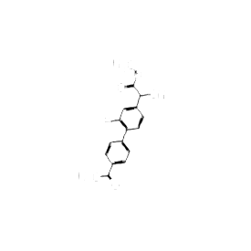 COC(=O)C(C)c1ccc(-c2ccc(C(C)=O)cc2)c(F)c1